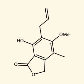 C=CCc1c(O)c2c(c(C)c1OC)COC2=O